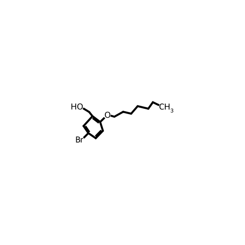 CCCCCCCOc1ccc(Br)cc1CO